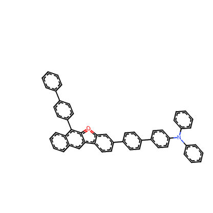 c1ccc(-c2ccc(-c3c4ccccc4cc4c3oc3cc(-c5ccc(-c6ccc(N(c7ccccc7)c7ccccc7)cc6)cc5)ccc34)cc2)cc1